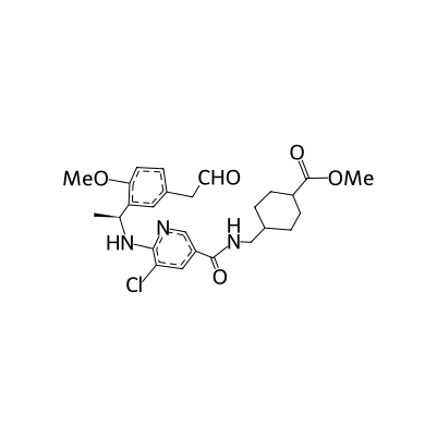 COC(=O)C1CCC(CNC(=O)c2cnc(N[C@@H](C)c3cc(CC=O)ccc3OC)c(Cl)c2)CC1